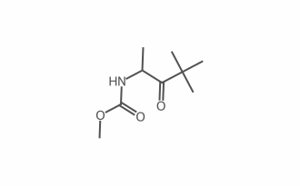 COC(=O)NC(C)C(=O)C(C)(C)C